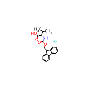 CC(C)[C@H](NC(=O)OCC1c2ccccc2-c2ccccc21)C(=O)O.F